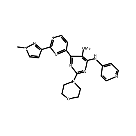 COc1c(Nc2ccncc2)nc(N2CCOCC2)nc1-c1ccnc(-c2ccn(C)n2)n1